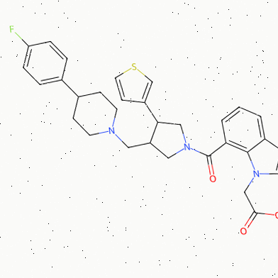 CC(C)(C)OC(=O)Cn1ccc2cccc(C(=O)N3CC(CN4CCC(c5ccc(F)cc5)CC4)C(c4ccsc4)C3)c21